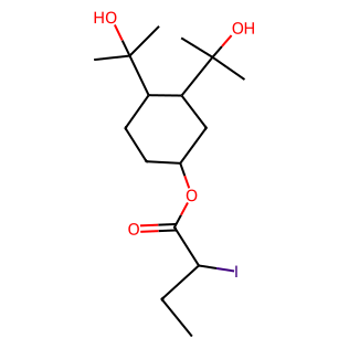 CCC(I)C(=O)OC1CCC(C(C)(C)O)C(C(C)(C)O)C1